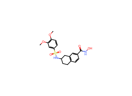 COc1ccc(S(=O)(=O)NC2CCc3ccc(C(=O)NO)cc3C2)cc1OC